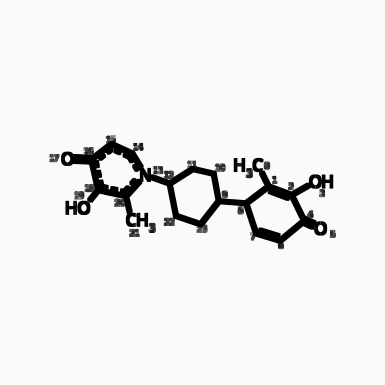 CC1=C(O)C(=O)C=CC1C1CCC(n2ccc(=O)c(O)c2C)CC1